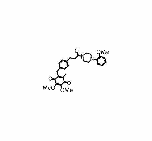 COC1=C(OC)C(=O)C(Cc2ccc(CCC(=O)N3CCN(c4ccccc4OC)CC3)cc2)=C(C)C1=O